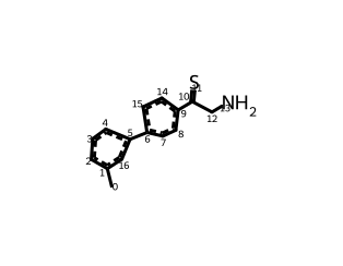 Cc1cccc(-c2ccc(C(=S)CN)cc2)c1